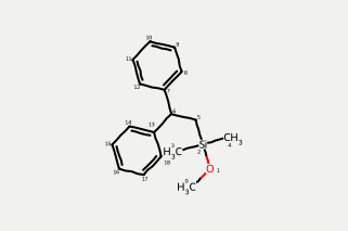 CO[Si](C)(C)CC(c1ccccc1)c1ccccc1